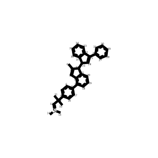 CC1=Cc2c(-c3ccc(C(C)(C)C=[Si](C)C)cc3)cccc2C1C1C=C(c2ccccc2)c2ccccc21